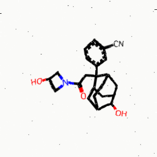 N#Cc1cccc(C2(CC(=O)N3CC(O)C3)C3CC4CC2CC(C3)C4O)c1